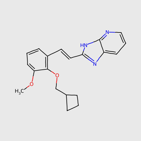 COc1cccc(C=Cc2nc3cccnc3[nH]2)c1OCC1CCC1